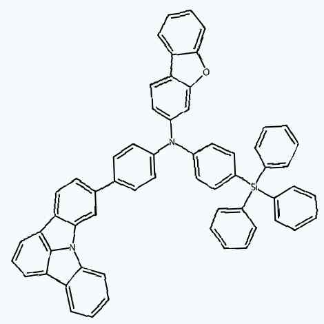 c1ccc([Si](c2ccccc2)(c2ccccc2)c2ccc(N(c3ccc(-c4ccc5c6cccc7c8ccccc8n(c5c4)c76)cc3)c3ccc4c(c3)oc3ccccc34)cc2)cc1